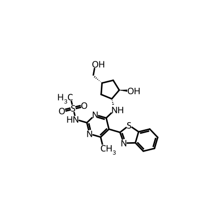 Cc1nc(NS(C)(=O)=O)nc(N[C@@H]2C[C@H](CO)C[C@H]2O)c1-c1nc2ccccc2s1